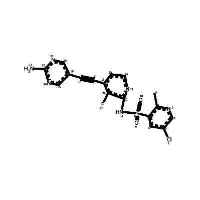 Cc1ncc(Cl)cc1S(=O)(=O)Nc1nccc(C#Cc2cnc(N)nc2)c1F